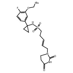 CC(C)(C)COc1cc(C2(NS(=O)(=O)CC/C=C/CN3CCC(=O)NC3=O)CC2)ccc1F